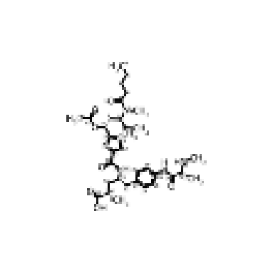 CCCCC(=O)N(C)C(C[C@@H](OC(C)=O)c1nc(C(=O)N[C@@H](Cc2ccc(NC(=O)[C@H](C)NC)cc2)C[C@H](C)C(=O)O)cs1)C(C)C